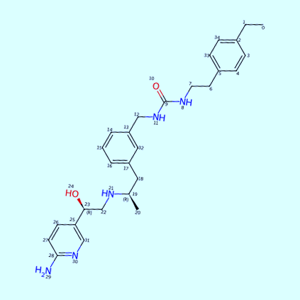 CCc1ccc(CCNC(=O)NCc2cccc(C[C@@H](C)NC[C@H](O)c3ccc(N)nc3)c2)cc1